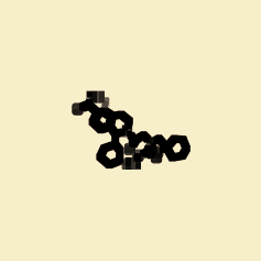 CC(C)(C)OC(=O)N(CC(=O)N1CCc2cc(C(N)=O)ccc2C1C1CCCCC1)CC1(O)CCCCC1